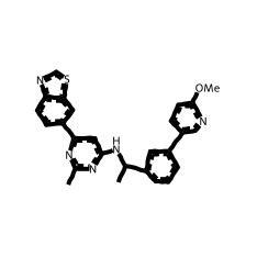 COc1ccc(-c2cccc(C(C)Nc3cc(-c4ccc5ncsc5c4)nc(C)n3)c2)cn1